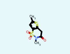 Cc1cc2c(s1)CC(=O)N(C)S2(=O)=O